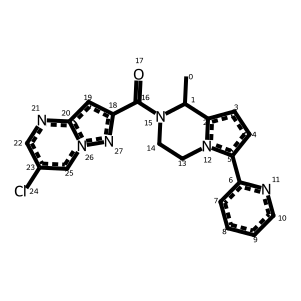 CC1c2ccc(-c3ccccn3)n2CCN1C(=O)c1cc2ncc(Cl)cn2n1